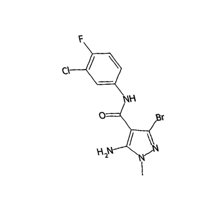 Cn1nc(Br)c(C(=O)Nc2ccc(F)c(Cl)c2)c1N